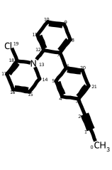 CC#Cc1ccc(-c2ccccc2N2CC=CC=C2Cl)cc1